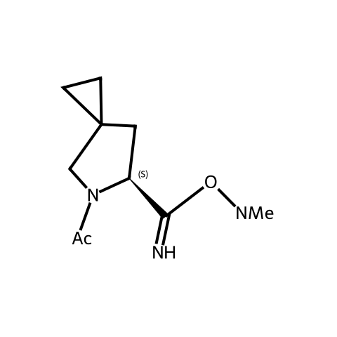 CNOC(=N)[C@@H]1CC2(CC2)CN1C(C)=O